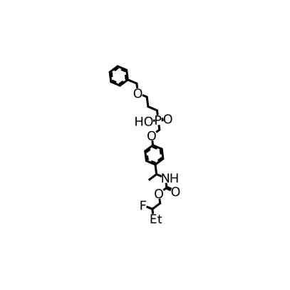 CCC(F)COC(=O)NC(C)c1ccc(OCP(=O)(O)CCCOCc2ccccc2)cc1